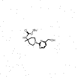 CC1(NC(=O)OC(C)(C)C)CCN(c2nccc(CO)n2)CC1